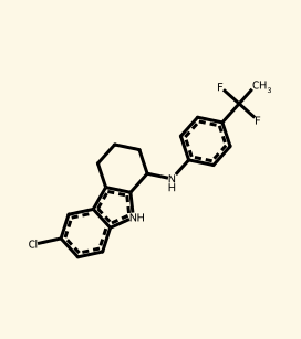 CC(F)(F)c1ccc(NC2CCCc3c2[nH]c2ccc(Cl)cc32)cc1